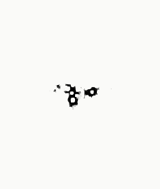 CC(C)(C)OC(=O)N1CCC2(CC1)CC2(c1ccc(Br)cc1)c1nc2cc(C(F)(F)F)c(F)cc2[nH]1